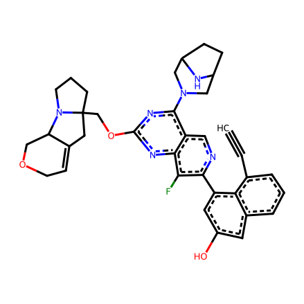 C#Cc1cccc2cc(O)cc(-c3ncc4c(N5CC6CCC(C5)N6)nc(OCC56CCCN5C5COCC=C5C6)nc4c3F)c12